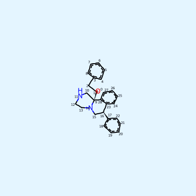 O=C(Cc1ccccc1)[C@]12CNCCN1C[C@H](c1ccccc1)c1ccccc12